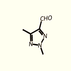 Cc1nn(C)nc1C=O